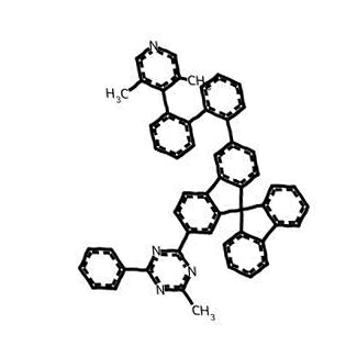 Cc1nc(-c2ccccc2)nc(-c2ccc3c(c2)C2(c4ccccc4-c4ccccc42)c2ccc(-c4ccccc4-c4ccccc4-c4c(C)cncc4C)cc2-3)n1